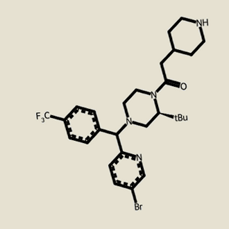 CC(C)(C)[C@H]1CN(C(c2ccc(C(F)(F)F)cc2)c2ccc(Br)cn2)CCN1C(=O)CC1CCNCC1